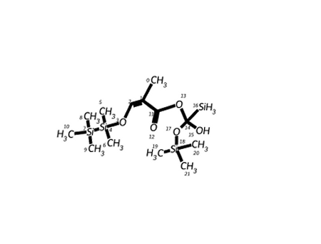 CC(=CO[Si](C)(C)[Si](C)(C)C)C(=O)OC(O)([SiH3])O[Si](C)(C)C